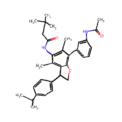 CC(=O)Nc1cccc(-c2c(C)c(NC(=O)CC(C)(C)C)c(C)c3c2OCC3c2ccc(C(C)C)cc2)c1